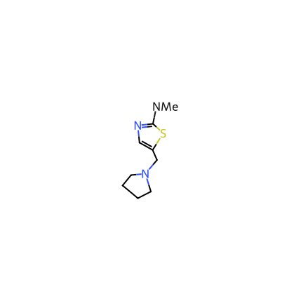 CNc1ncc(CN2CCCC2)s1